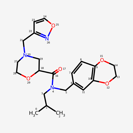 CC(C)CN(Cc1ccc2c(c1)OCCO2)C(=O)C1CN(Cc2ccon2)CCO1